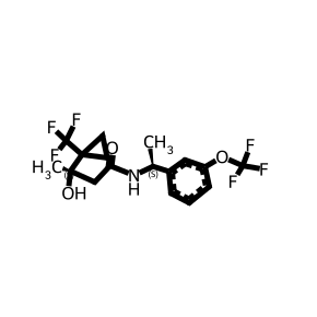 C[C@H](NC(=O)C[C@](C)(O)C1(C(F)(F)F)CC1)c1cccc(OC(F)(F)F)c1